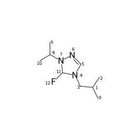 CC(C)CN1C=NN(C(C)C)C1F